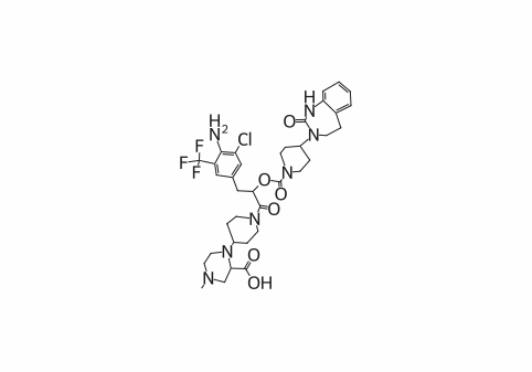 CN1CCN(C2CCN(C(=O)C(Cc3cc(Cl)c(N)c(C(F)(F)F)c3)OC(=O)N3CCC(N4CCc5ccccc5NC4=O)CC3)CC2)C(C(=O)O)C1